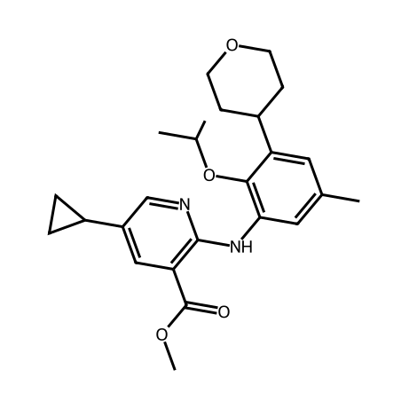 COC(=O)c1cc(C2CC2)cnc1Nc1cc(C)cc(C2CCOCC2)c1OC(C)C